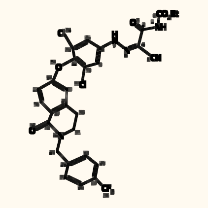 CCOC(=O)NC(=O)C(C#N)=NNc1cc(Cl)c(Oc2ccc3c(c2)CCN(Cc2ccc(C(F)(F)F)cc2)C3=O)c(Cl)c1